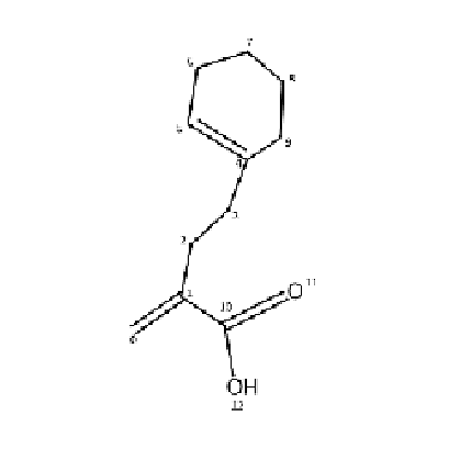 C=C(CCC1=CCCCC1)C(=O)O